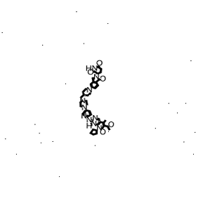 CC(=O)c1c(C)c2cnc(Nc3ccc(N4CCN(CC5CCN(c6ccc7c(c6)CN(C6CCC(=O)NC6=O)C7=O)CC5)CC4)cn3)nc2n(C2CCCC2)c1=O